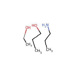 CCCN.CCCO.CCO